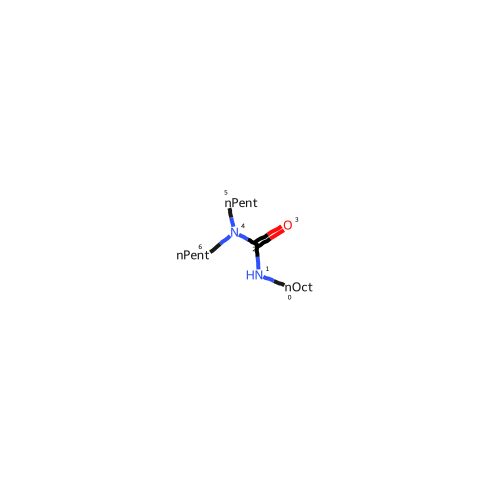 CCCCCCCCNC(=O)N(CCCCC)CCCCC